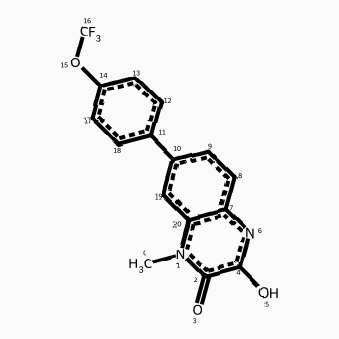 Cn1c(=O)c(O)nc2ccc(-c3ccc(OC(F)(F)F)cc3)cc21